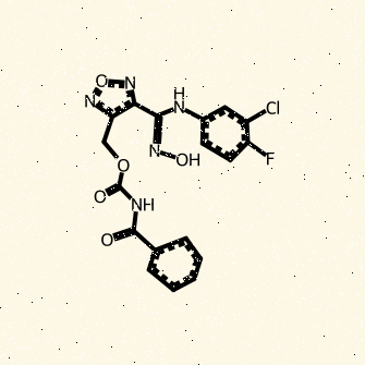 O=C(NC(=O)c1ccccc1)OCc1nonc1C(=NO)Nc1ccc(F)c(Cl)c1